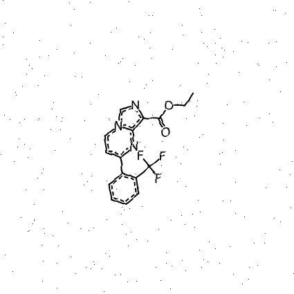 CCOC(=O)c1ncn2ccc(-c3ccccc3C(F)(F)F)nc12